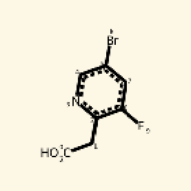 O=C(O)Cc1ncc(Br)cc1F